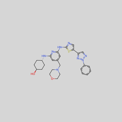 O[C@H]1CC[C@H](Nc2cc(CN3CCOCC3)cc(Nc3ncc(-c4cnn(-c5ccccc5)n4)s3)n2)CC1